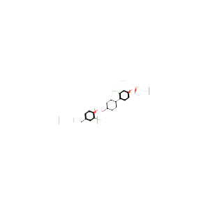 CCc1ccc(OCC2CCC(c3ccc(OC)c(F)c3F)CC2)c(F)c1